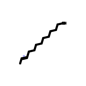 C/C=C/CCCCCCCCCO